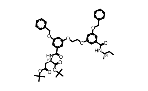 CC[C@@H](C)NC(=O)c1cc(OCCOc2cc(OCc3ccccc3)cc(C(=O)N[C@H](CC(=O)OC(C)(C)C)C(=O)OC(C)(C)C)c2)cc(OCc2ccccc2)c1